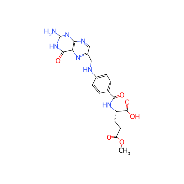 COC(=O)CC[C@H](NC(=O)c1ccc(NCc2cnc3nc(N)[nH]c(=O)c3n2)cc1)C(=O)O